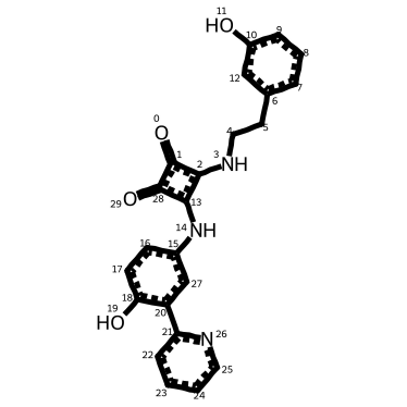 O=c1c(NCCc2cccc(O)c2)c(Nc2ccc(O)c(-c3ccccn3)c2)c1=O